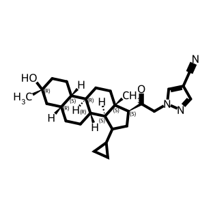 C[C@@]1(O)CC[C@H]2[C@H](CC[C@@H]3[C@@H]2CC[C@]2(C)[C@@H](C(=O)Cn4cc(C#N)cn4)CC(C4CC4)[C@@H]32)C1